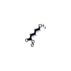 C/C=C/C=C/C(=O)[O][U]